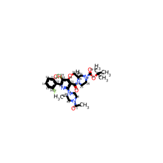 CC(=O)N1CCN(c2nc(-c3c(O)cccc3F)c(Cl)c3c2C(=O)N2CCN(C(=O)OC(C)(C)C)C[C@@H]2CO3)[C@@H](C)C1